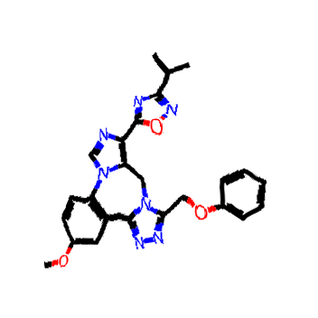 COc1ccc2c(c1)-c1nnc(COc3ccccc3)n1Cc1c(-c3nc(C(C)C)no3)ncn1-2